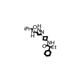 CCC(C(=O)N[C@H]1C[C@@H](c2cc(NC(=O)C(C)C)[nH]n2)C1)c1ccccc1